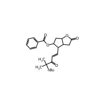 CCCCC(C)(C)C(=O)/C=C/C1C(OC(=O)c2ccccc2)CC2OC(=O)CC21